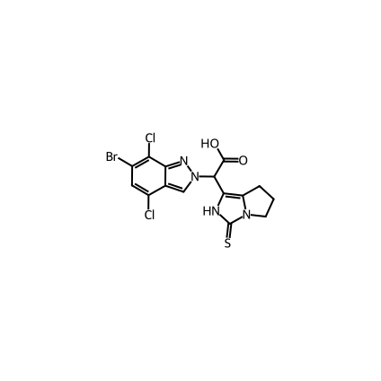 O=C(O)C(c1[nH]c(=S)n2c1CCC2)n1cc2c(Cl)cc(Br)c(Cl)c2n1